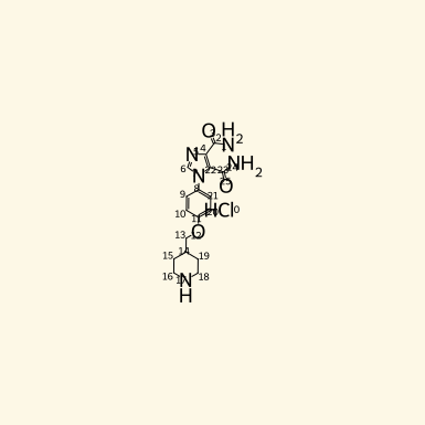 Cl.NC(=O)c1ncn(-c2ccc(OCC3CCNCC3)cc2)c1C(N)=O